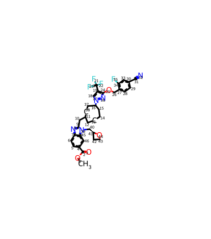 COC(=O)c1ccc2nc(CC3CCCCC(n4cc(C(F)(F)F)c(OCc5ccc(C#N)cc5F)n4)CC3)n(C[C@@H]3CCO3)c2c1